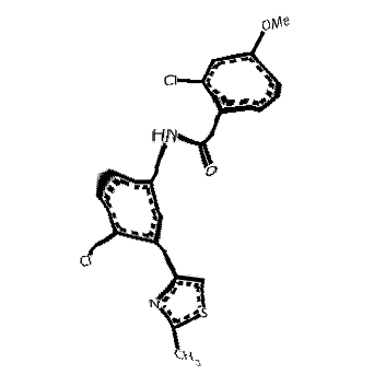 COc1ccc(C(=O)Nc2ccc(Cl)c(-c3csc(C)n3)c2)c(Cl)c1